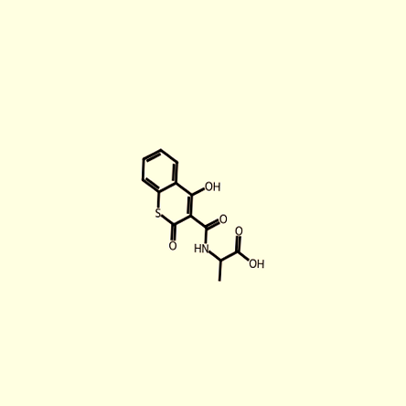 CC(NC(=O)c1c(O)c2ccccc2sc1=O)C(=O)O